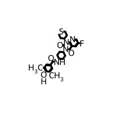 Cc1cc(C(=O)NC2CCC(n3c(=O)c4cc(F)cnc4n(C4CCSCC4)c3=O)CC2)cc(C)c1O